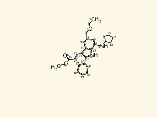 CCOCc1cc(NC2CCCC2)c2[nH]c(-c3ccccc3)c(/C=C/C(=O)OC)c2c1